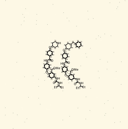 CCC(CC)NC(=O)Nc1ccc(Oc2ccc(NC(=O)c3ccc(OC4CCN(Cc5ccccc5)CC4)cc3)cc2)c(COC)c1.CCC(CC)NC(=O)Nc1ccc(Oc2ccc(NC(=O)c3ccc(OC4CCNCC4)cc3)cc2)c(COC)c1